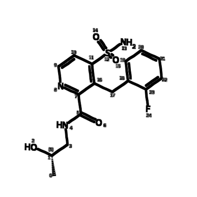 C[C@H](O)CNC(=O)c1nccc(S(N)(=O)=O)c1Cc1ccccc1F